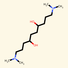 CN(C)CCCC(O)CCC(O)CCCN(C)C